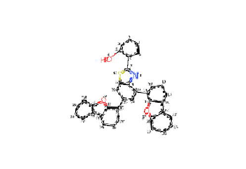 Oc1ccccc1-c1nc2c(-c3cccc4c3oc3ccccc34)cc(-c3cccc4c3oc3ccccc34)cc2s1